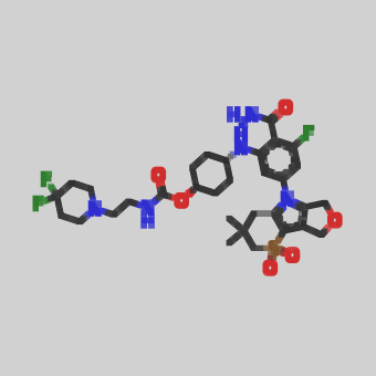 CC1(C)Cc2c(c3c(n2-c2cc(F)c(C(N)=O)c(N[C@H]4CC[C@H](OC(=O)NCCN5CCC(F)(F)CC5)CC4)c2)COC3)S(=O)(=O)C1